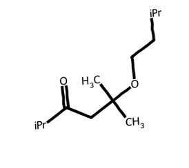 CC(C)CCOC(C)(C)CC(=O)C(C)C